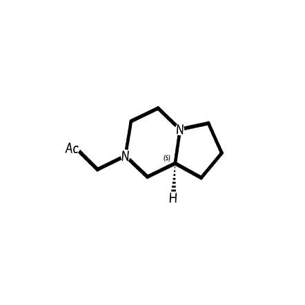 CC(=O)CN1CCN2CCC[C@H]2C1